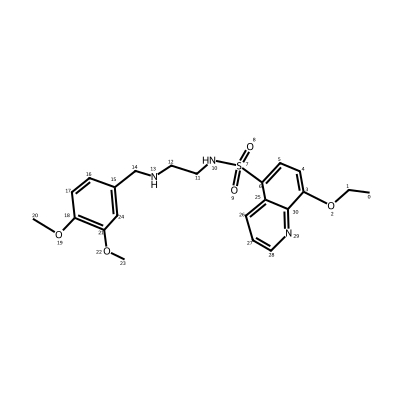 CCOc1ccc(S(=O)(=O)NCCNCc2ccc(OC)c(OC)c2)c2cccnc12